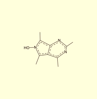 Cc1nc(C)c2c(C)n(O)c(C)c2n1